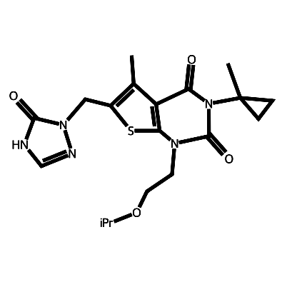 Cc1c(Cn2nc[nH]c2=O)sc2c1c(=O)n(C1(C)CC1)c(=O)n2CCOC(C)C